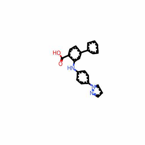 O=C(O)c1ccc(-c2ccccc2)cc1Nc1ccc(-n2cccn2)cc1